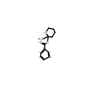 O=C(OC1([SiH3])CCCCO1)c1ccccc1